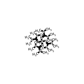 CN(C)C(=N[PH](N=C(N(C)C)N(C)C)(N=C(N(C)C)N(C)C)N=C(N(C)C)N(C)C)N(C)C